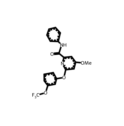 COc1cc(Oc2cccc(OC(F)(F)F)c2)nc(C(=O)Nc2ccccc2)c1